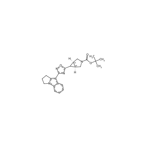 CC(C)(C)OC(=O)N1C[C@@H]2C(c3nc(-c4c5n(c6ccccc46)CCC5)no3)[C@@H]2C1